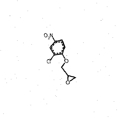 O=[N+]([O-])c1ccc(OCC2CO2)c(Cl)c1